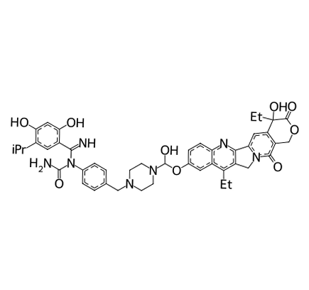 CCc1c2c(nc3ccc(OC(O)N4CCN(Cc5ccc(N(C(=N)c6cc(C(C)C)c(O)cc6O)C(N)=O)cc5)CC4)cc13)-c1cc3c(c(=O)n1C2)COC(=O)C3(O)CC